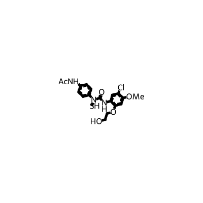 COc1cc(OCCO)c(NC(=O)N(S)c2ccc(NC(C)=O)cc2)cc1Cl